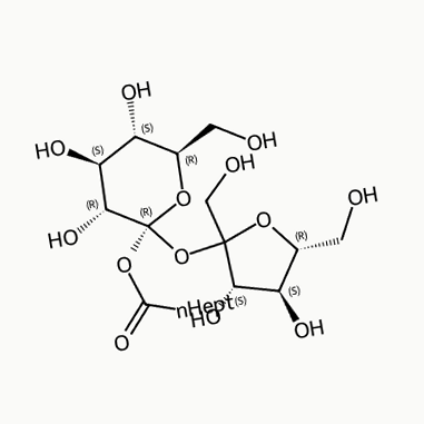 CCCCCCCC(=O)O[C@@]1(OC2(CO)O[C@H](CO)[C@@H](O)[C@@H]2O)O[C@H](CO)[C@@H](O)[C@H](O)[C@H]1O